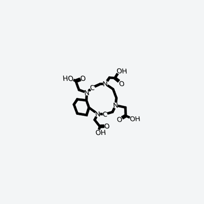 O=C(O)CN1CCN(CC(=O)O)CCN(CC(=O)O)C2CCCCC2N(CC(=O)O)CC1